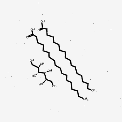 CCCCCCCCCCCCCCCCCC(=O)O.CCCCCCCCCCCCCCCCCC(=O)O.OC[C@@H](O)[C@@H](O)[C@H](O)[C@H](O)CO